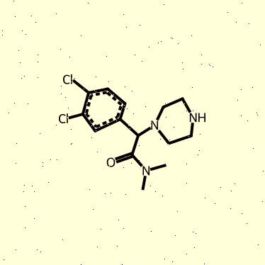 CN(C)C(=O)C(c1ccc(Cl)c(Cl)c1)N1CCNCC1